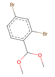 COC(OC)c1ccc(Br)cc1Br